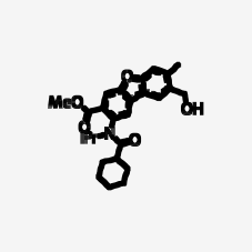 COC(=O)c1cc2oc3cc(C)c(CO)cc3c2cc1N(C(=O)C1CCCCC1)C(C)C